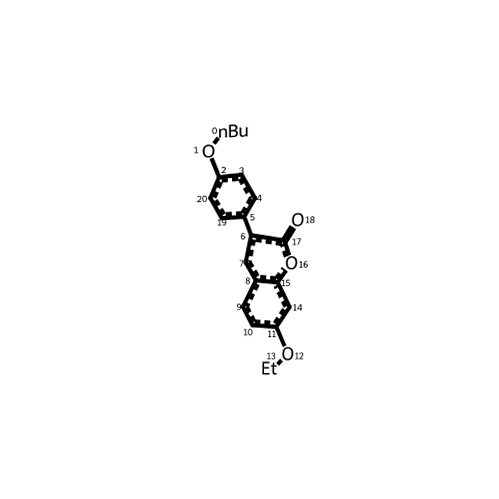 CCCCOc1ccc(-c2cc3ccc(OCC)cc3oc2=O)cc1